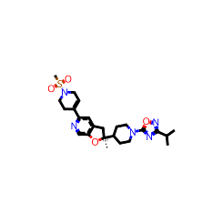 CC(C)c1noc(N2CCC([C@]3(C)Cc4cc(C5=CCN(S(C)(=O)=O)CC5)ncc4O3)CC2)n1